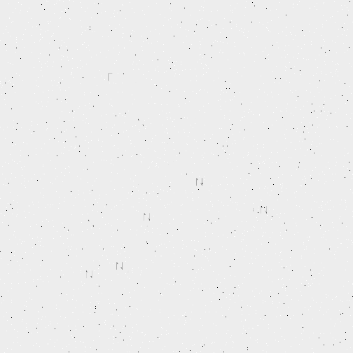 Cn1cnnc1N1CCN(c2c(C#N)cccc2-c2ccc(F)nc2)CC1